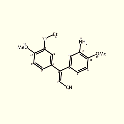 CCOc1cc(C(=CC#N)c2ccc(OC)c(N)c2)ccc1OC